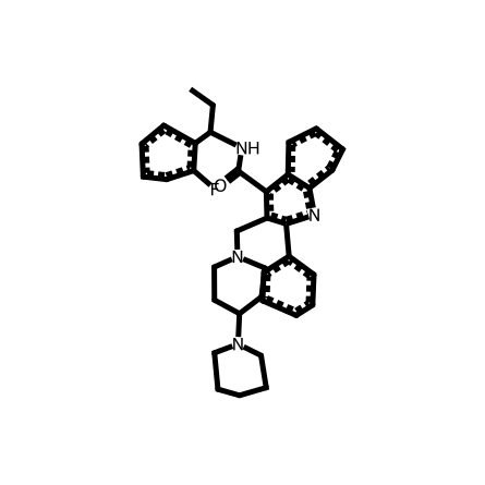 CCC(NC(=O)c1c(CN2CCC(N3CCCCC3)CC2)c(-c2ccccc2)nc2ccccc12)c1ccccc1F